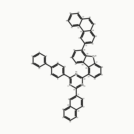 c1ccc(-c2ccc(-c3nc(-c4ccc5ccccc5c4)nc(-c4cccc5oc6c(-c7ccc8ccc9ccccc9c8c7)cccc6c45)n3)cc2)cc1